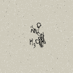 CC(C)n1cnnc1-c1cccc(-n2cnc3cc(-c4ccccc4)c(-n4cnc(C5CC5)c4)cc3c2=O)n1